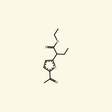 CCOC(=O)C(CC)c1ccc(C(C)=O)s1